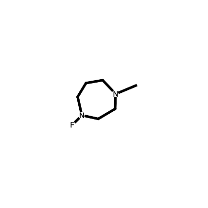 CN1CCCN(F)CC1